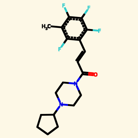 Cc1c(F)c(F)c(F)c(C=CC(=O)N2CCN(C3CCCC3)CC2)c1F